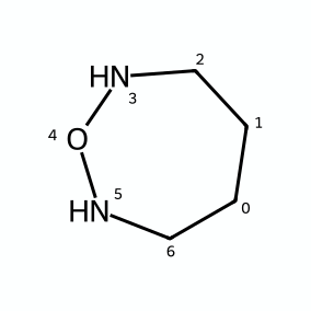 C1CCNONC1